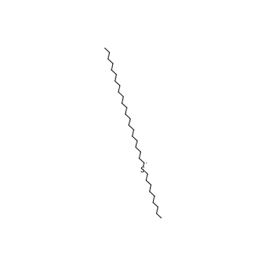 CCCCCCCCCCCCCCCCCCCCC[CH]SCCCCCCCCC